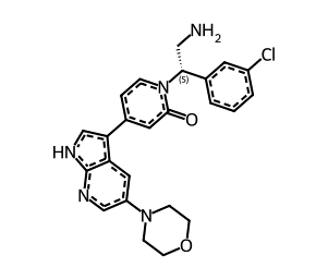 NC[C@H](c1cccc(Cl)c1)n1ccc(-c2c[nH]c3ncc(N4CCOCC4)cc23)cc1=O